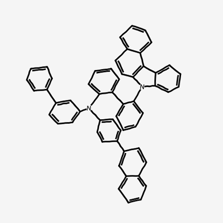 c1ccc(-c2cccc(N(c3ccc(-c4ccc5ccccc5c4)cc3)c3ccccc3-c3ccccc3-n3c4ccccc4c4c5ccccc5ccc43)c2)cc1